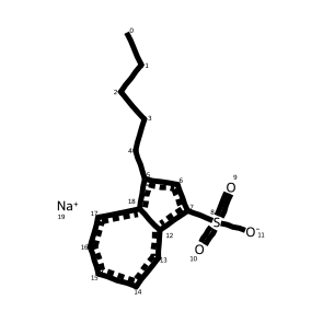 CCCCCc1cc(S(=O)(=O)[O-])c2cccccc1-2.[Na+]